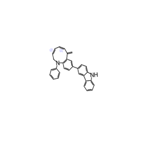 C=C1/C=C\C=C/CN(c2ccccc2)c2ccc(-c3ccc4[nH]c5ccccc5c4c3)cc21